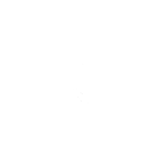 O=C(N[C@H](CO)C(=O)O)OCCOC(=O)C1CCCCC1